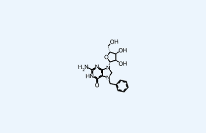 Nc1nc2c(c(=O)[nH]1)N(Cc1ccccc1)CN2[C@@H]1O[C@H](CO)[C@@H](O)[C@H]1O